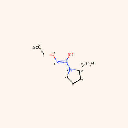 CC(=O)OCO/N=[N+](\[O-])N1CCC[C@H]1C(=O)O